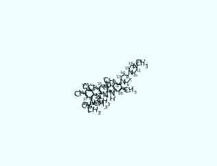 COc1cc(N2CCC(N3CCN(C)CC3)CC2)c(C)cc1Nc1ncc(Cl)c(N(C)c2cc(Cl)c(Cl)cc2N(C)C(C)=O)n1